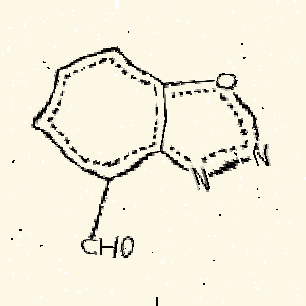 O=Cc1cccc2onnc12